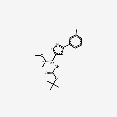 CO[C@H](C)[C@@H](NC(=O)OC(C)(C)C)c1nc(-c2cccc(F)c2)no1